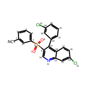 N#Cc1cccc(S(=O)(=O)c2cnc3cc(Cl)ccc3c2-c2cccc(Cl)c2)c1